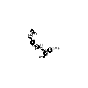 COc1ccc(-n2nc(CC(C)C)cc2NC(=O)Nc2cnc(Oc3ccc(-c4cnc(N5CCCC5=O)s4)cc3)nc2)cn1